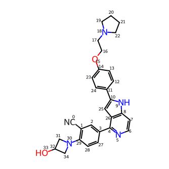 N#Cc1cc(-c2nccc3[nH]c(-c4ccc(OCCN5CCCC5)cc4)cc23)ccc1N1CC(O)C1